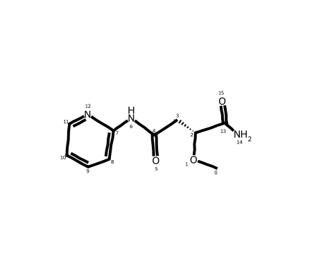 CO[C@H]([CH]C(=O)Nc1ccccn1)C(N)=O